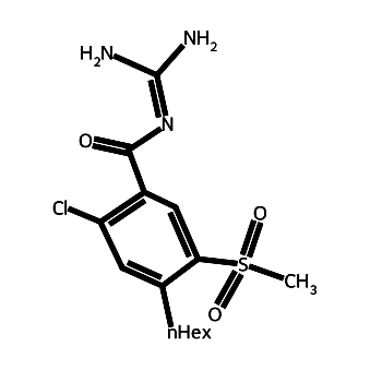 CCCCCCc1cc(Cl)c(C(=O)N=C(N)N)cc1S(C)(=O)=O